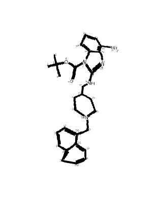 CC(C)(C)OC(=O)n1c(NCC2CCN(Cc3cccc4ccccc34)CC2)nc2c(N)cccc21